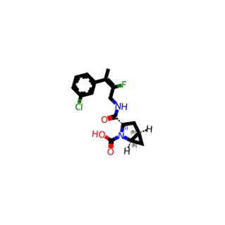 CC(=C(F)CNC(=O)[C@@H]1C[C@H]2C[C@H]2N1C(=O)O)c1cccc(Cl)c1